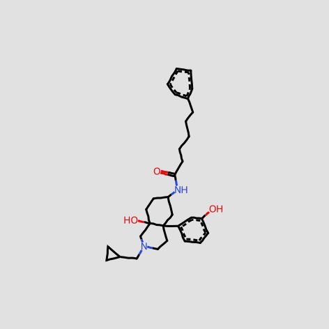 O=C(CCCCCc1ccccc1)NC1CCC2(O)CN(CC3CC3)CCC2(c2cccc(O)c2)C1